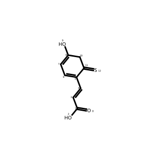 O=C(O)C=CC1=CC=C(O)CC1=S